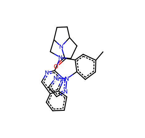 Cc1ccc(-n2nccn2)c(C(=O)N2C3CCC2CN(c2ncc4ccccc4n2)CC3)c1